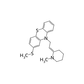 CSc1ccc2c(c1)N(C/C=C1\CCCCN1C)c1ccccc1S2